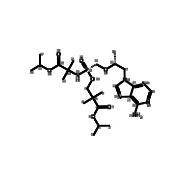 CC(C)OC(=O)C(C)(C)CO[P@@](=O)(CO[C@H](C)Cn1cnc2c(N)ncnc21)NC(C)(C)C(=O)OC(C)C